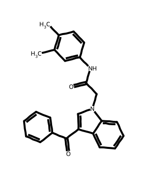 Cc1ccc(NC(=O)Cn2cc(C(=O)c3ccccc3)c3ccccc32)cc1C